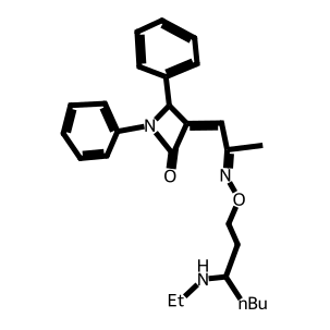 CCCCC(CCON=C(C)C=C1C(=O)N(c2ccccc2)C1c1ccccc1)NCC